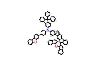 C=C(/C=C\C(=C/C)N(c1ccc(-c2ccc3c(c2)oc2ccccc23)cc1)c1ccc2c(c1)-c1ccccc1C2(c1ccccc1)c1ccccc1)c1ccc2c(c1)C1(c3ccccc3-2)c2ccc3ccccc3c2Oc2c1ccc1ccccc21